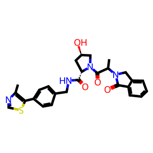 Cc1ncsc1-c1ccc(CNC(=O)[C@@H]2C[C@@H](O)CN2C(=O)C(C)N2Cc3ccccc3C2=O)cc1